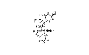 COC(C(=O)OC(c1ccc(Cl)cc1I)C(F)(F)F)(c1ccccc1)C(F)(F)F